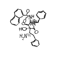 CC[C@H](C)[C@H](NS(=O)(=O)c1cccc2ccccc12)C(=O)[C@@](O)(C(=O)NCc1ccccc1)[C@@H](N)Cc1ccccc1